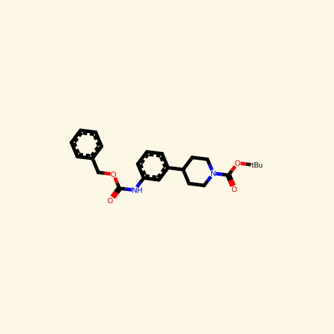 CC(C)(C)OC(=O)N1CCC(c2cccc(NC(=O)OCc3ccccc3)c2)CC1